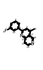 Cc1cc(-c2cccc(F)c2)nc2ccncc12